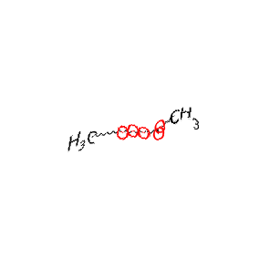 CCCCCCCCCCOCCOCCOCCCC(=O)OCCCCC